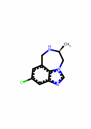 C[C@H]1Cn2cnc3cc(Cl)cc(c32)CN1